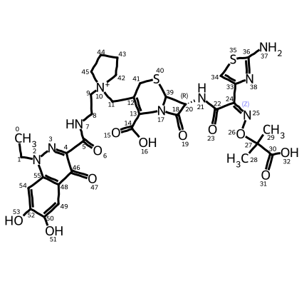 CCn1nc(C(=O)NCC[N+]2(CC3=C(C(=O)O)N4C(=O)[C@@H](NC(=O)/C(=N\OC(C)(C)C(=O)O)c5csc(N)n5)C4SC3)CCCC2)c(=O)c2cc(O)c(O)cc21